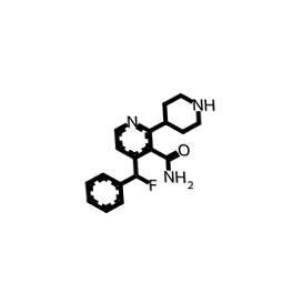 NC(=O)c1c(C(F)c2ccccc2)ccnc1C1CCNCC1